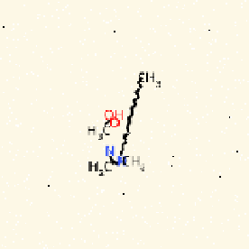 C=C(C#N)CN(C)CCCCCCCCCCCCCCCCCC.CCC(=O)O